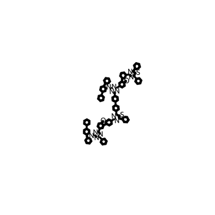 c1ccc(-c2ccc3c4ccccc4n(-c4nc(-c5ccccc5)nc(-c5ccc6oc7cc(-c8nc(-c9ccc(-c%10ccc(-c%11nc(-c%12ccc%13oc%14c(-c%15nc(-c%16ccccc%16)c%16sc%17ccccc%17c%16n%15)cccc%14c%13c%12)nc(-n%12c%13ccccc%13c%13ccc(-c%14ccccc%14)cc%13%12)n%11)cc%10)cc9)c9sc%10ccccc%10c9n8)ccc7c6c5)n4)c3c2)cc1